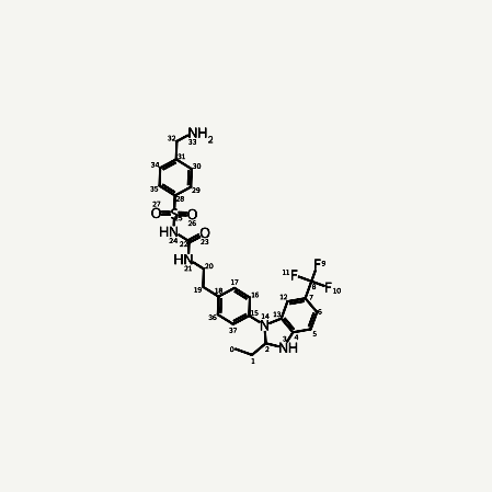 CCC1Nc2ccc(C(F)(F)F)cc2N1c1ccc(CCNC(=O)NS(=O)(=O)c2ccc(CN)cc2)cc1